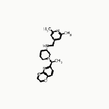 Cc1cc(CN[C@H]2CCCN(C(C)c3ccc4c(n3)OCCO4)C2)cc(C)n1